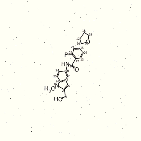 Cn1c(CO)cc2cc(NC(=O)c3ccc([C@@H]4CCCO4)cc3F)ccc21